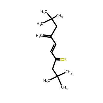 C=C(/C=C/C(=S)CC(C)(C)C)CC(C)(C)C